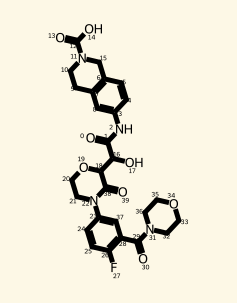 O=C(Nc1ccc2c(c1)CCN(C(=O)O)C2)C(O)C1OCCN(c2ccc(F)c(C(=O)N3CCOCC3)c2)C1=O